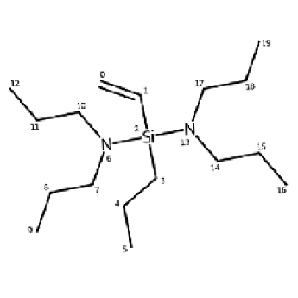 C=C[Si](CCC)(N(CCC)CCC)N(CCC)CCC